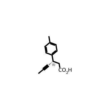 CC#C[C@@H](CC(=O)O)c1ccc(C)cc1